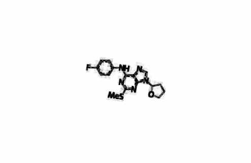 CSc1nc(Nc2ccc(F)cc2)c2ncn(C3CCCO3)c2n1